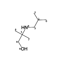 CC(C)CNC(C)(C)CO